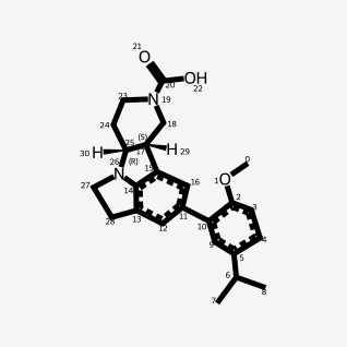 COc1ccc(C(C)C)cc1-c1cc2c3c(c1)[C@H]1CN(C(=O)O)CC[C@H]1N3CC2